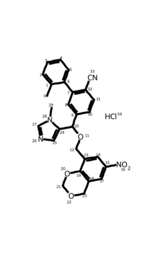 Cc1ccccc1-c1cc(C(OCc2cc([N+](=O)[O-])cc3c2OCOC3)c2cncn2C)ccc1C#N.Cl